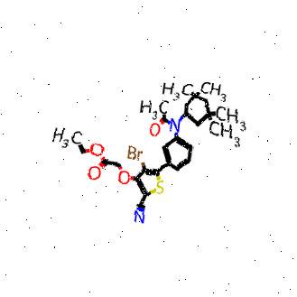 CCOC(=O)COc1c(C#N)sc(-c2cccc(N(C(C)=O)C3CC(C)(C)CC(C)(C)C3)c2)c1Br